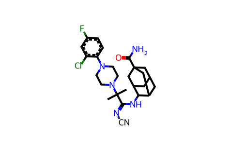 CC(C)(/C(=N/C#N)NC1C2CC3CC1CC(C(N)=O)(C3)C2)N1CCN(c2ccc(F)cc2Cl)CC1